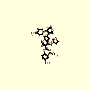 CCc1cc(O)ccc1/N=C(\N)c1cnn2cc(-c3cnccc3N3CCC(N)CC3)cc2c1N[C@H]1CCOC1